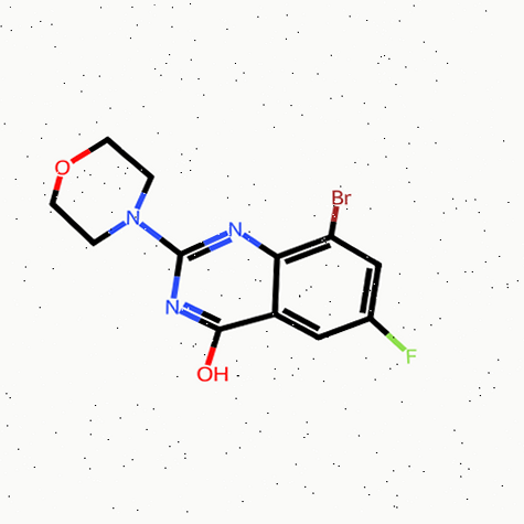 Oc1nc(N2CCOCC2)nc2c(Br)cc(F)cc12